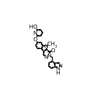 Cn1c2cc(Oc3cccc(O)n3)ccc2c2cnn(Cc3cccc4[nH]ncc34)c(=O)c21